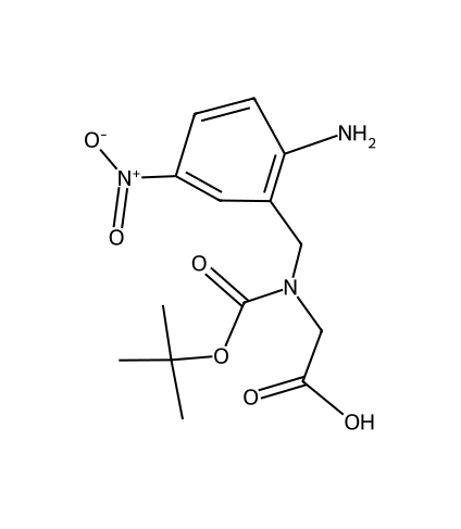 CC(C)(C)OC(=O)N(CC(=O)O)Cc1cc([N+](=O)[O-])ccc1N